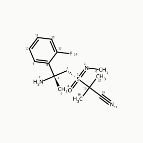 CN=[S@@](=O)(C[C@](C)(N)c1ccccc1F)C(C)(C)C#N